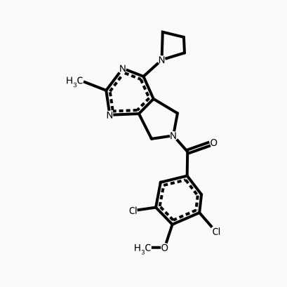 COc1c(Cl)cc(C(=O)N2Cc3nc(C)nc(N4CCC4)c3C2)cc1Cl